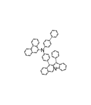 c1ccc(-c2ccc(N(c3ccc(-c4c5ccccc5cn5c4c(-c4ccccc4)c4ccccc45)cc3)c3cc4ccccc4c4ccccc34)cc2)cc1